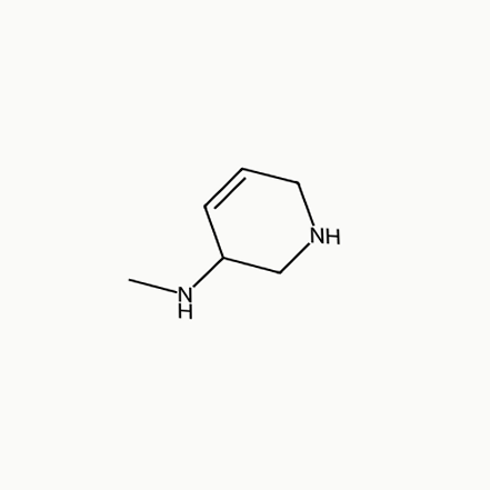 CNC1C=CCNC1